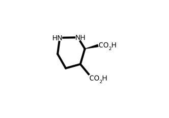 O=C(O)C1CCNN[C@H]1C(=O)O